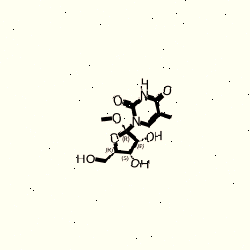 CO[C@@]1(n2cc(C)c(=O)[nH]c2=O)O[C@H](CO)[C@@H](O)[C@H]1O